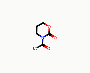 CCC(=O)N1CCCOC1=O